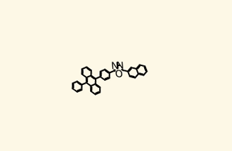 c1ccc(-c2c3ccccc3c(-c3ccc(-c4nnc(-c5ccc6ccccc6c5)o4)cc3)c3ccccc23)cc1